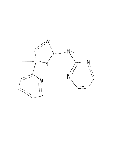 CC1(c2ccccn2)C=NC(Nc2ncccn2)S1